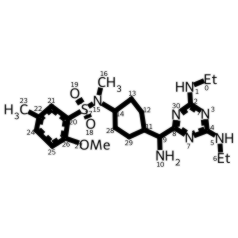 CCNc1nc(NCC)nc(C(N)C2CCC(N(C)S(=O)(=O)c3cc(C)ccc3OC)CC2)n1